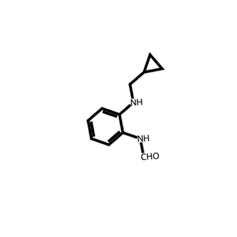 O=CNc1ccccc1NCC1CC1